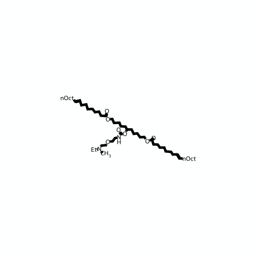 CCCCCCCC/C=C/CCCCCCCC(=O)OCCCCCC(CCCCCOC(=O)CCCCCCC/C=C/CCCCCCCC)OC(=O)NCCOCCN(C)CC